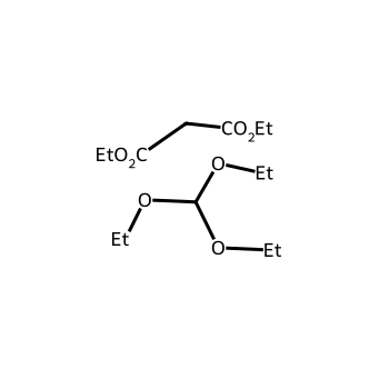 CCOC(=O)CC(=O)OCC.CCOC(OCC)OCC